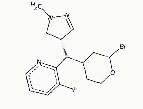 CN1C[C@@H](C(c2ncccc2F)C2CCOC(Br)C2)C=N1